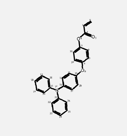 C=CC(=O)Oc1ccc(Oc2ccc(N(c3ccccc3)c3ccccc3)cc2)cc1